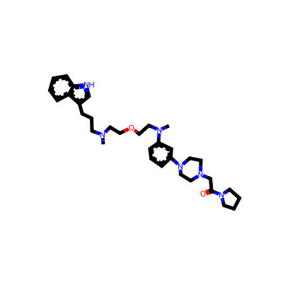 CN(CCCc1c[nH]c2ccccc12)CCOCCN(C)c1cccc(N2CCN(CC(=O)N3CCCC3)CC2)c1